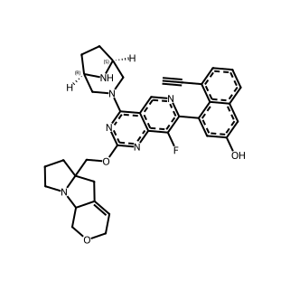 C#Cc1cccc2cc(O)cc(-c3ncc4c(N5C[C@H]6CC[C@@H](C5)N6)nc(OCC56CCCN5C5COCC=C5C6)nc4c3F)c12